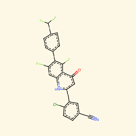 N#Cc1ccc(Cl)c(-c2cc(=O)c3c(F)c(-c4ccc(C(F)F)cc4)c(F)cc3[nH]2)c1